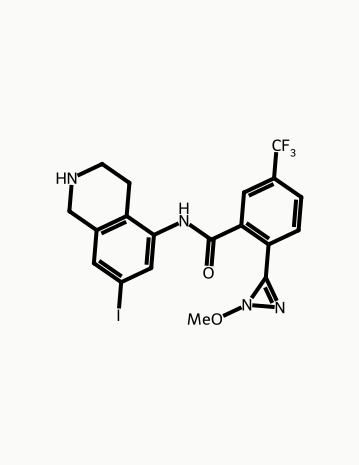 CON1N=C1c1ccc(C(F)(F)F)cc1C(=O)Nc1cc(I)cc2c1CCNC2